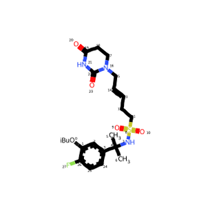 CC(C)COc1cc(C(C)(C)NS(=O)(=O)CC/C=C/CN2CCC(=O)NC2=O)ccc1F